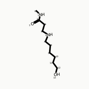 CNC(=O)CCNCCCCCCO